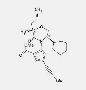 C=CC[C@]1(C)OC[C@@H](C2CCCCC2)N(c2cc(C#CC(C)(C)C)sc2C(=O)OC)C1=O